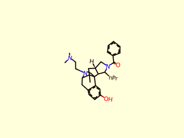 CCCC1C2[C@@H](CN1C(=O)c1ccccc1)CC1(C)C3Cc4ccc(O)cc4C21CCN3CCN(C)C